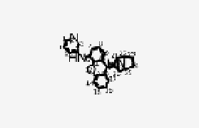 c1cncc(Nc2cccc3c2Oc2ccccc2C3=C2CC3CCC(C2)N3)c1